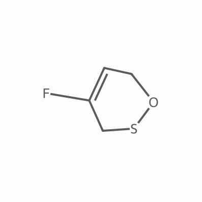 FC1=CCOSC1